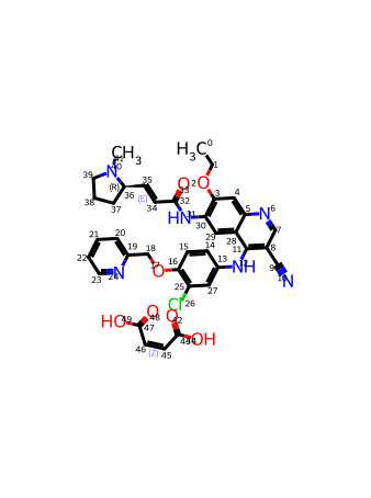 CCOc1cc2ncc(C#N)c(Nc3ccc(OCc4ccccn4)c(Cl)c3)c2cc1NC(=O)/C=C/[C@H]1CCCN1C.O=C(O)/C=C\C(=O)O